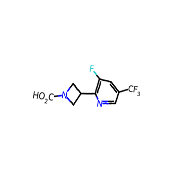 O=C(O)N1CC(c2ncc(C(F)(F)F)cc2F)C1